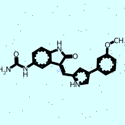 COc1cccc(-c2c[nH]c(/C=C3\C(=O)Nc4ccc(NC(N)=O)cc43)c2)c1